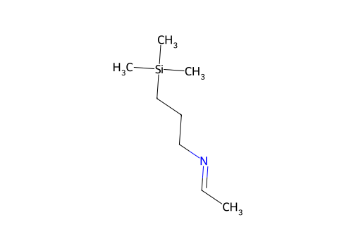 CC=NCCC[Si](C)(C)C